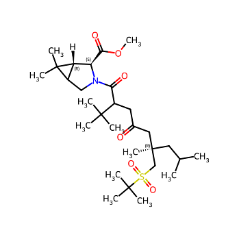 COC(=O)[C@@H]1[C@@H]2C(CN1C(=O)C(CC(=O)C[C@@](C)(CC(C)C)CS(=O)(=O)C(C)(C)C)C(C)(C)C)C2(C)C